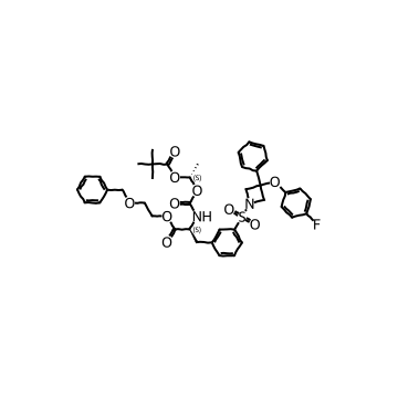 C[C@H](OC(=O)N[C@@H](Cc1cccc(S(=O)(=O)N2CC(Oc3ccc(F)cc3)(c3ccccc3)C2)c1)C(=O)OCCOCc1ccccc1)OC(=O)C(C)(C)C